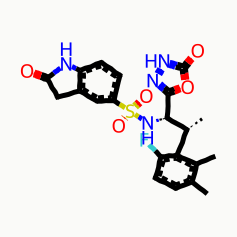 Cc1ccc(F)c([C@@H](C)[C@H](NS(=O)(=O)c2ccc3c(c2)CC(=O)N3)c2n[nH]c(=O)o2)c1C